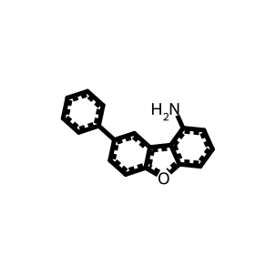 Nc1cccc2oc3ccc(-c4ccccc4)cc3c12